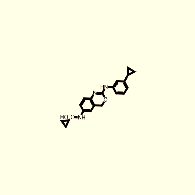 C1CC1.O=C(O)Nc1ccc2c(c1)COC(Nc1cccc(C3CC3)c1)=N2